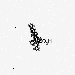 O=C(O)c1sc(-c2ccccc2)cc1N1C(=O)CN(S(=O)(=O)c2ccc(N3CCCC3)nc2)C[C@@H]1C1CCCCC1